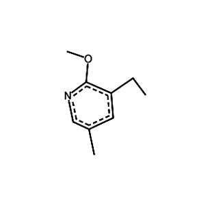 CCc1cc(C)cnc1OC